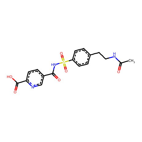 CC(=O)NCCc1ccc(S(=O)(=O)NC(=O)c2ccc(C(=O)O)nc2)cc1